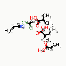 C=C(C)C(=O)O.C=C(CC)C(=O)O.C=C(Cl)Cl.C=CC#N.C=CC(=O)O